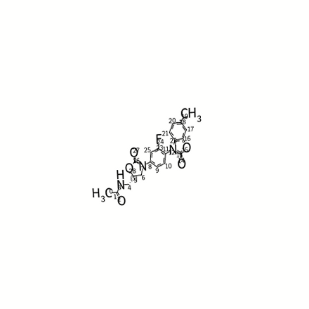 CC(=O)NC[C@H]1CN(c2ccc(-n3c(=O)oc4cc(C)ccc43)c(F)c2)C(=O)O1